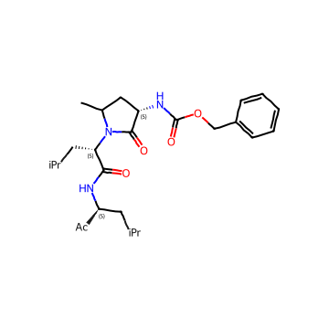 CC(=O)[C@H](CC(C)C)NC(=O)[C@H](CC(C)C)N1C(=O)[C@@H](NC(=O)OCc2ccccc2)CC1C